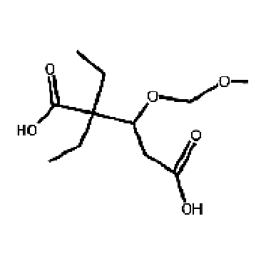 CCC(CC)(C(=O)O)C(CC(=O)O)OCOC